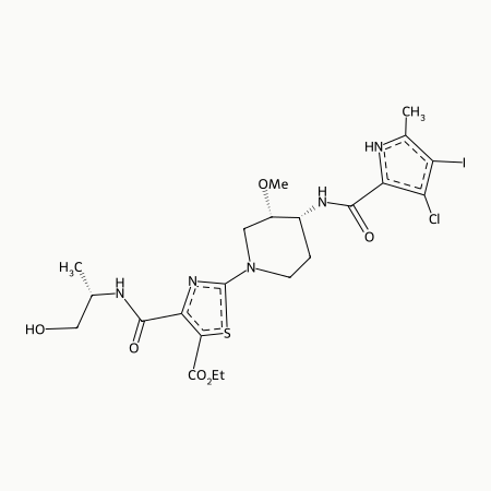 CCOC(=O)c1sc(N2CC[C@@H](NC(=O)c3[nH]c(C)c(I)c3Cl)[C@@H](OC)C2)nc1C(=O)N[C@@H](C)CO